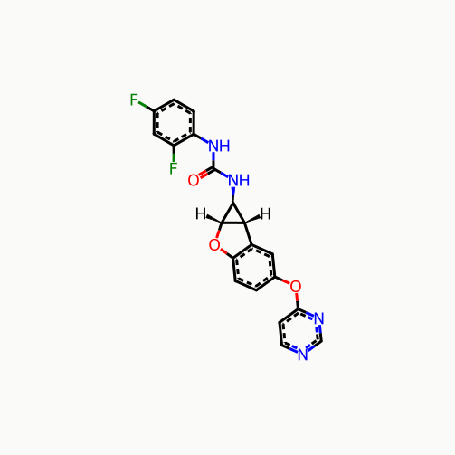 O=C(Nc1ccc(F)cc1F)N[C@@H]1[C@H]2Oc3ccc(Oc4ccncn4)cc3[C@@H]12